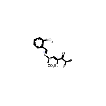 CCOC(=O)/C(=C\N(C)/N=C/c1ccccc1[N+](=O)[O-])C(=O)C(F)F